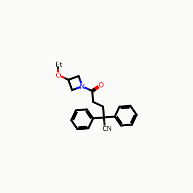 CCOC1CN(C(=O)CCC(C#N)(c2ccccc2)c2ccccc2)C1